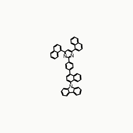 c1ccc2c(-c3cc(-c4cccc5ccccc45)nc(-c4ccc(-c5ccc(-n6c7ccccc7c7ccccc76)c6ccccc56)cc4)n3)cccc2c1